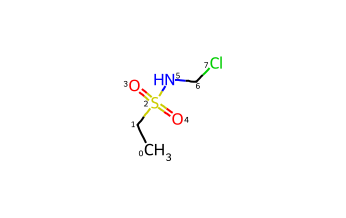 CCS(=O)(=O)NCCl